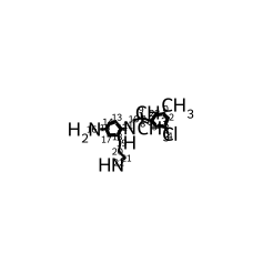 Cc1cc(Cl)cc(C(C)(C)CNc2ccc(N)cc2CCC=N)c1